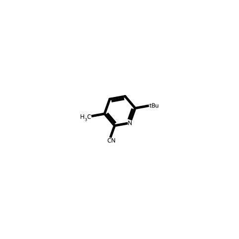 Cc1ccc(C(C)(C)C)nc1C#N